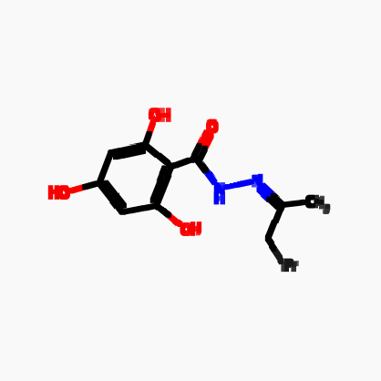 CC(CC(C)C)=NNC(=O)c1c(O)cc(O)cc1O